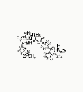 CS(=O)(=O)c1cccc(CNc2nc(Nc3ccc(N4CCN(Cc5ccccc5C5CCC(=O)NC5=O)CC4)cc3)ncc2C(F)(F)F)c1